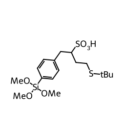 CO[Si](OC)(OC)c1ccc(CC(CCSC(C)(C)C)S(=O)(=O)O)cc1